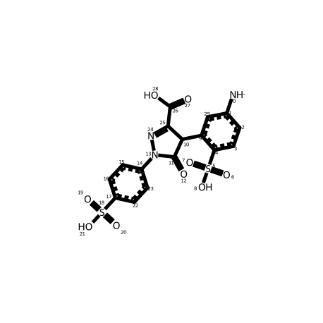 [NH]c1ccc(S(=O)(=O)O)c(C2C(=O)N(c3ccc(S(=O)(=O)O)cc3)N=C2C(=O)O)c1